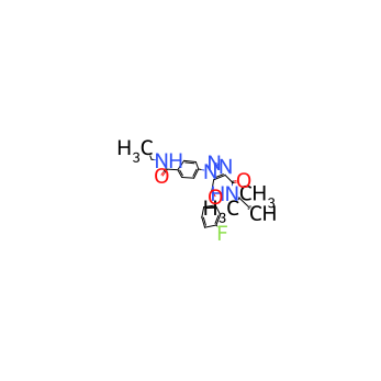 C#CC(C)(C)NC(=O)c1nnn(-c2ccc(C(=O)NCC)cc2)c1COc1cccc(F)c1